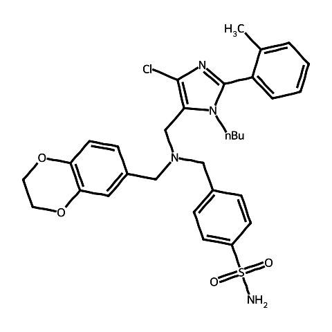 CCCCn1c(-c2ccccc2C)nc(Cl)c1CN(Cc1ccc(S(N)(=O)=O)cc1)Cc1ccc2c(c1)OCCO2